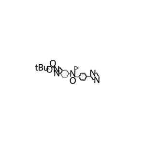 CC(C)(C)OC(=O)n1cc2c(n1)CCC(N(C(=O)c1ccc(-c3cnccn3)cc1)C1CC1)C2